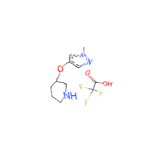 Cn1cc(OC2CCCNC2)cn1.O=C(O)C(F)(F)F